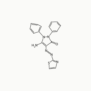 Nc1c(/N=N/c2nccs2)c(=O)n(-c2ccccc2)n1-c1ccccc1